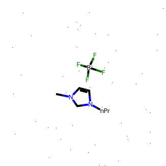 CCCN1C=CN(C)C1.F[B-](F)(F)F